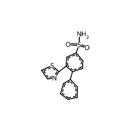 NS(=O)(=O)c1ccc(-c2ccccc2)c(-c2nccs2)c1